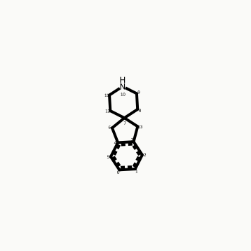 c1ccc2c(c1)CC1(CCNCC1)C2